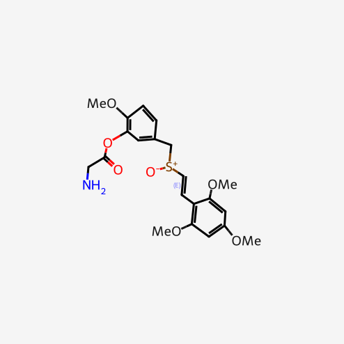 COc1cc(OC)c(/C=C/[S+]([O-])Cc2ccc(OC)c(OC(=O)CN)c2)c(OC)c1